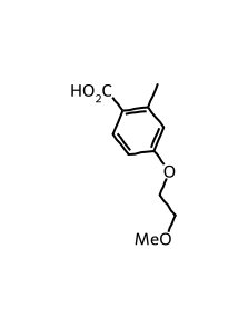 COCCOc1ccc(C(=O)O)c(C)c1